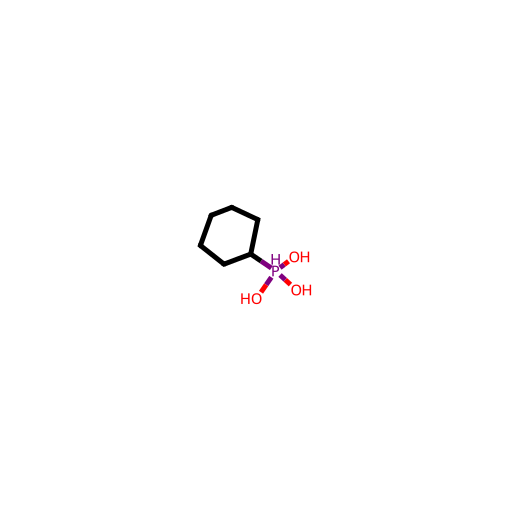 O[PH](O)(O)C1CCCCC1